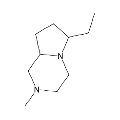 CCC1CCC2CN(C)CCN12